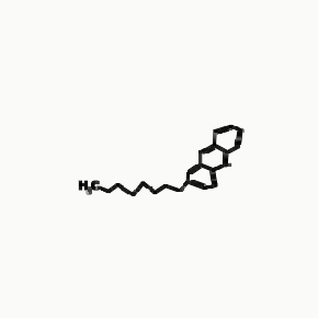 CCCCCCCCc1ccc2[c]c3ccccc3cc2c1